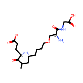 CC(CCCCCCOC[C@H](N)C(=O)NCC(=O)O)C(=O)[C@@H](N)CCC(=O)O